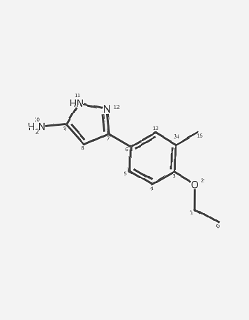 CCOc1ccc(-c2cc(N)[nH]n2)cc1C